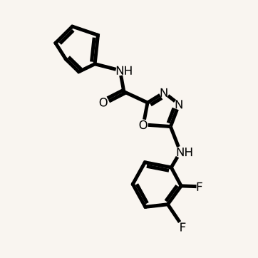 O=C(Nc1ccccc1)c1nnc(Nc2cccc(F)c2F)o1